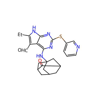 CCc1[nH]c2nc(Sc3cccnc3)nc(NC34CC5CC(C3)C(=O)C(C5)C4)c2c1C=O